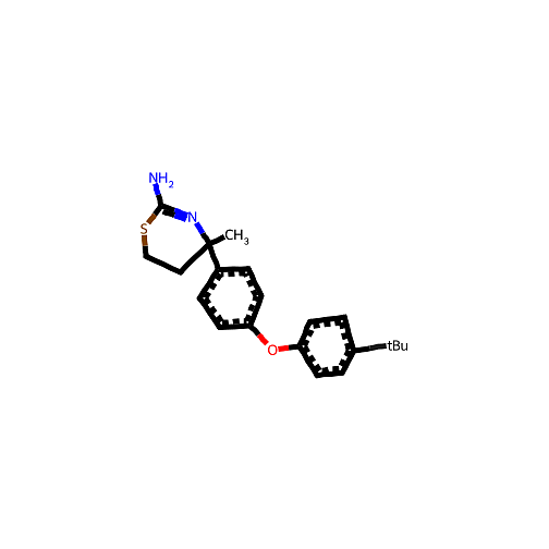 CC(C)(C)c1ccc(Oc2ccc(C3(C)CCSC(N)=N3)cc2)cc1